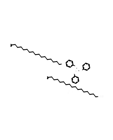 CCCCCCCCCCCCCCCCCC(=O)[O-].CCCCCCCCCCCCCCCCCC(=O)[O-].[Zn+2].c1ccc(OP(Oc2ccccc2)Oc2ccccc2)cc1